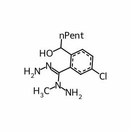 CCCCCC(O)c1ccc(Cl)cc1/C(=N/N)N(C)N